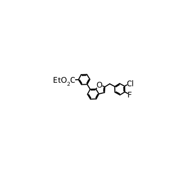 CCOC(=O)c1cccc(-c2cccc3cc(Cc4ccc(F)c(Cl)c4)oc23)c1